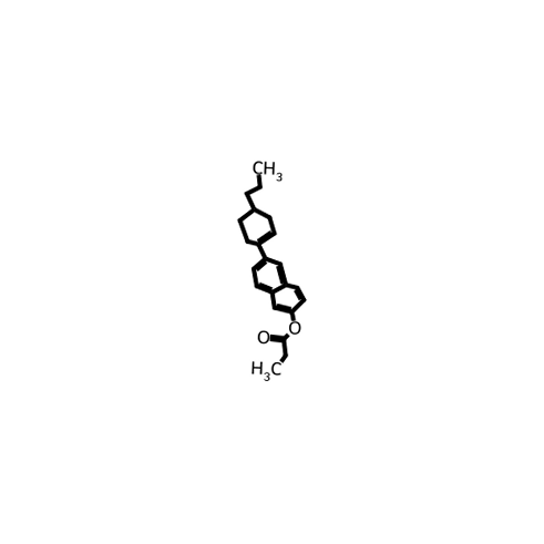 CCCC1CC=C(c2ccc3cc(OC(=O)CC)ccc3c2)CC1